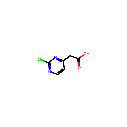 O=C(O)Cc1ccnc(Cl)n1